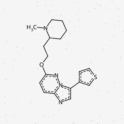 CN1CCCCC1CCOc1ccc2ncc(-c3ccsc3)n2n1